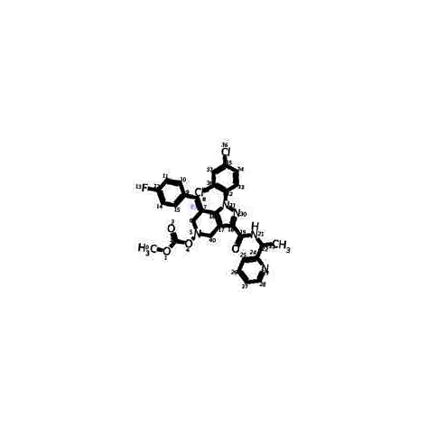 COC(=O)ON1C/C(=C\c2ccc(F)cc2)c2c(c(C(=O)NC(C)c3ccccn3)nn2-c2ccc(Cl)cc2Cl)C1